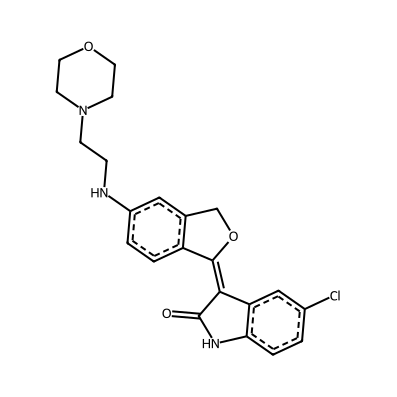 O=C1Nc2ccc(Cl)cc2/C1=C1\OCc2cc(NCCN3CCOCC3)ccc21